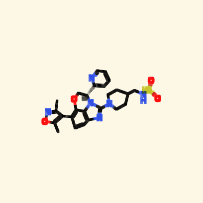 Cc1noc(C)c1-c1ccc2nc(N3CCC(CN[SH](=O)=O)CC3)n3c2c1OC[C@@H]3c1ccccn1